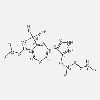 CNCCN(C)Cc1n[nH]cc1C1=CCC=C(OCC(C)C)C(C(F)(F)F)=C1